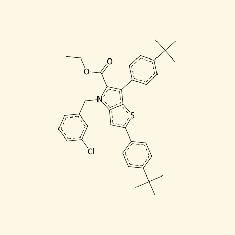 CCOC(=O)c1c(-c2ccc(C(C)(C)C)cc2)c2sc(-c3ccc(C(C)(C)C)cc3)cc2n1Cc1cccc(Cl)c1